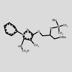 COCC(COc1nn(-c2ccccc2)c(NC(=O)O)c1C)O[Si](C)(C)C(C)(C)C